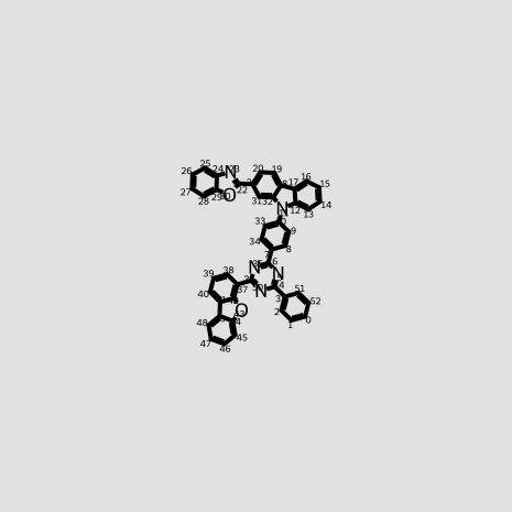 c1ccc(-c2nc(-c3ccc(-n4c5ccccc5c5ccc(-c6nc7ccccc7o6)cc54)cc3)nc(-c3cccc4c3oc3ccccc34)n2)cc1